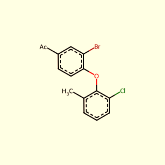 CC(=O)c1ccc(Oc2c(C)cccc2Cl)c(Br)c1